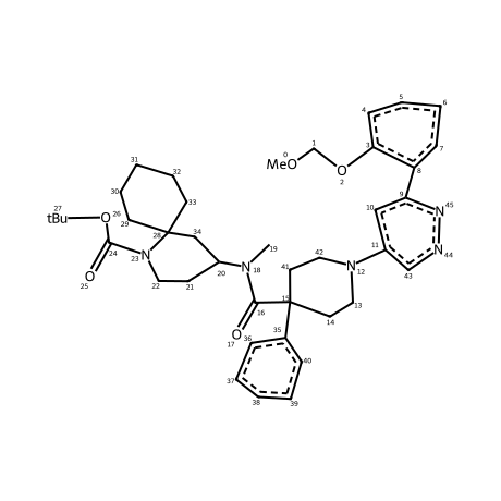 COCOc1ccccc1-c1cc(N2CCC(C(=O)N(C)C3CCN(C(=O)OC(C)(C)C)C4(CCCCC4)C3)(c3ccccc3)CC2)cnn1